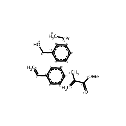 C=C(C)C(=O)OC.C=Cc1ccccc1.CCCC.OCc1ccccc1